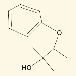 CC(Oc1ccccc1)C(C)(C)O